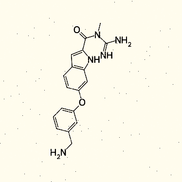 CN(C(=N)N)C(=O)c1cc2ccc(Oc3cccc(CN)c3)cc2[nH]1